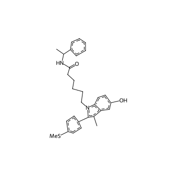 CSc1ccc(-c2c(C)c3cc(O)ccc3n2CCCCCC(=O)NC(C)c2ccccc2)cc1